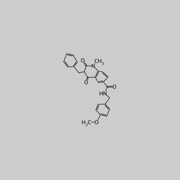 COc1ccc(CNC(=O)c2ccc3c(c2)C(=O)C(Cc2ccccc2)C(=O)N3C)cc1